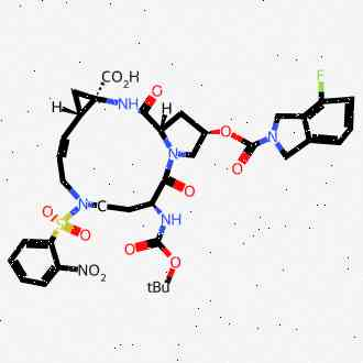 CC(C)(C)OC(=O)N[C@H]1CCN(S(=O)(=O)c2ccccc2[N+](=O)[O-])C/C=C\[C@@H]2C[C@@]2(C(=O)O)NC(=O)[C@@H]2C[C@@H](OC(=O)N3Cc4cccc(F)c4C3)CN2C1=O